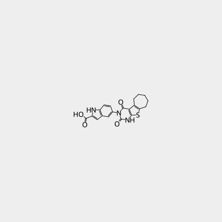 O=C(O)c1cc2cc(-n3c(=O)[nH]c4sc5c(c4c3=O)CCCCC5)ccc2[nH]1